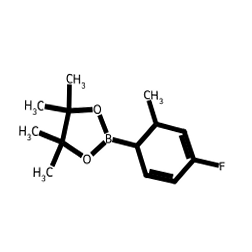 CC1C=C(F)C=CC1B1OC(C)(C)C(C)(C)O1